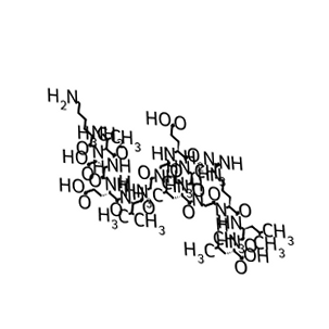 CC(C)C[C@H](NC(=O)[C@H](CC(C)C)NC(=O)[C@H](CCCNC(=N)N)NC(=O)CNC(=O)[C@H](CC(C)C)NC(=O)[C@H](C)NC(=O)[C@H](CCC(=O)O)NC(=O)CNC(=O)CNC(=O)[C@@H](NC(=O)[C@H](CCC(=O)O)NC(=O)[C@H](CC(=O)O)NC(=O)[C@@H](NC(=O)[C@@H](N)CCCCN)C(C)C)C(C)C)C(=O)O